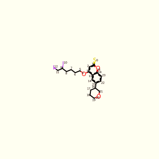 S=c1cc(OCCCCC(I)CI)c2cc(C3CCCOC3)ccc2o1